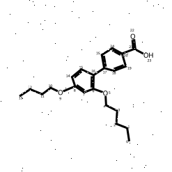 CCCCCOc1cc(OCCCC)ccc1-c1ccc(C(=O)O)cc1